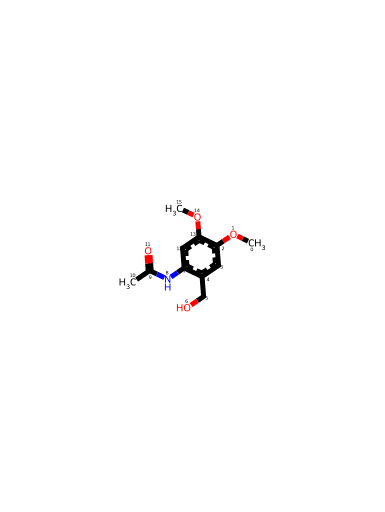 COc1cc(CO)c(NC(C)=O)cc1OC